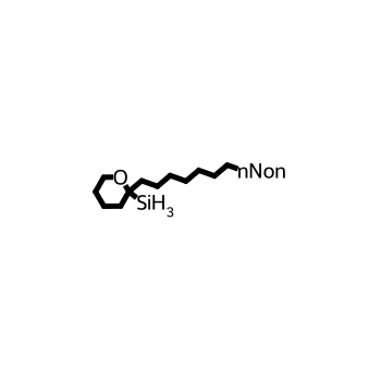 CCCCCCCCCCCCCCCCC1([SiH3])CCCCO1